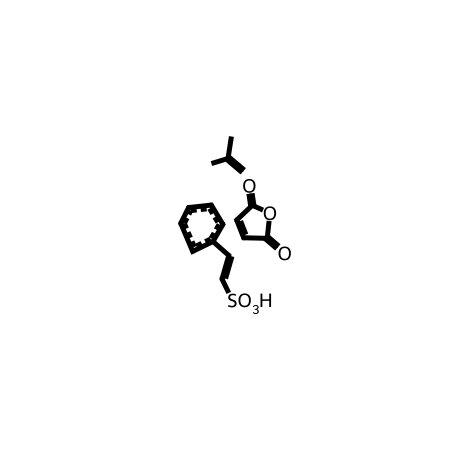 C=C(C)C.O=C1C=CC(=O)O1.O=S(=O)(O)C=Cc1ccccc1